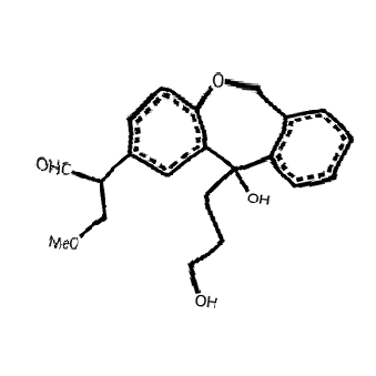 COCC(C=O)c1ccc2c(c1)C(O)(CCCO)c1ccccc1CO2